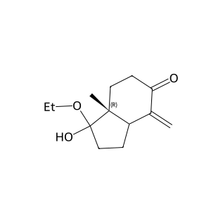 C=C1C(=O)CC[C@]2(C)C1CCC2(O)OCC